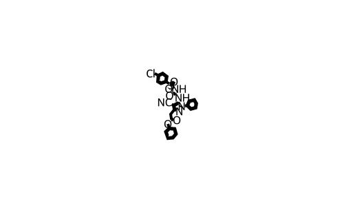 N#Cc1c(CC(=O)Oc2ccccc2)nn(-c2ccccc2)c1NC(=O)NS(=O)(=O)c1ccc(Cl)cc1